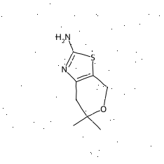 CC1(C)Cc2nc(N)sc2CO1